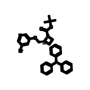 CC(C)(C)OC(=O)N1CC[C@H]1COc1cncc(Br)c1.c1ccc(P(c2ccccc2)c2ccccc2)cc1